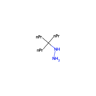 CCCC(CCC)(CCC)NN